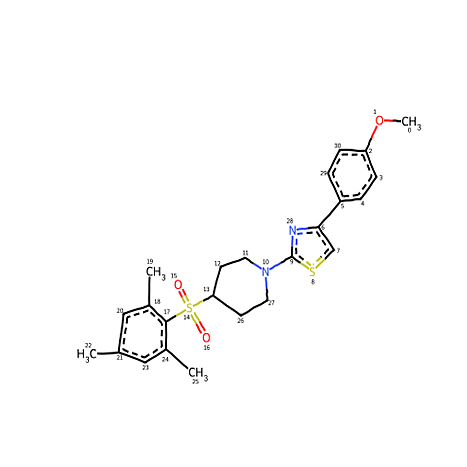 COc1ccc(-c2csc(N3CCC(S(=O)(=O)c4c(C)cc(C)cc4C)CC3)n2)cc1